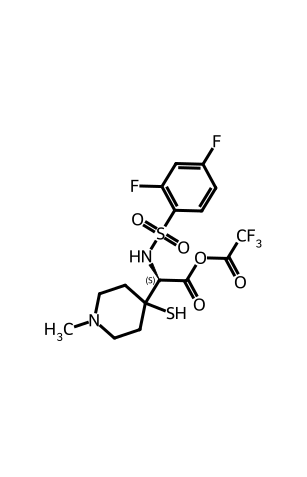 CN1CCC(S)([C@@H](NS(=O)(=O)c2ccc(F)cc2F)C(=O)OC(=O)C(F)(F)F)CC1